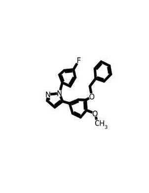 COc1ccc(-c2ccnn2-c2ccc(F)cc2)cc1OCc1ccccc1